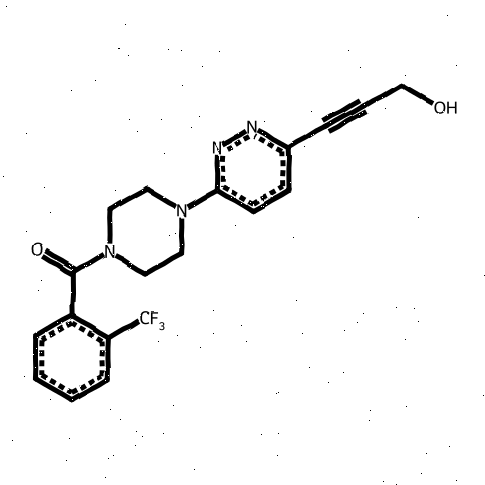 O=C(c1ccccc1C(F)(F)F)N1CCN(c2ccc(C#CCO)nn2)CC1